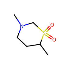 CC1CCN(C)CS1(=O)=O